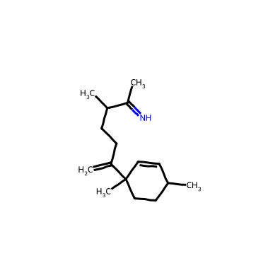 C=C(CCC(C)C(C)=N)C1(C)C=CC(C)CC1